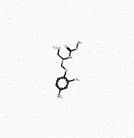 Cc1cc([N+](=O)[O-])ccc1OC[C@@H](CC(=O)O)NC(=O)OC(C)(C)C